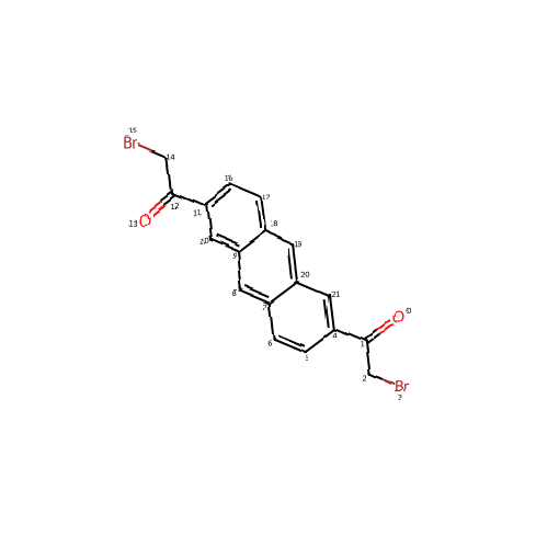 O=C(CBr)c1ccc2cc3cc(C(=O)CBr)ccc3cc2c1